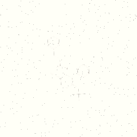 CC(C)(C)ON1CCC(=C=O)[C@H](NC(=O)OCc2ccccc2)[C@@H]1c1ccccc1